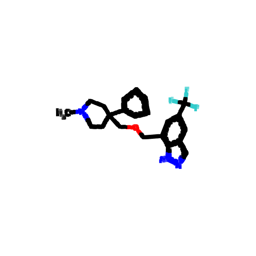 CN1CCC(COCc2cc(C(F)(F)F)cc3cn[nH]c23)(c2ccccc2)CC1